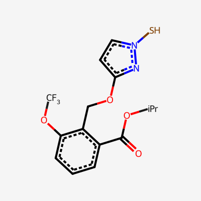 CC(C)OC(=O)c1cccc(OC(F)(F)F)c1COc1ccn(S)n1